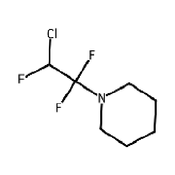 FC(Cl)C(F)(F)N1CCCCC1